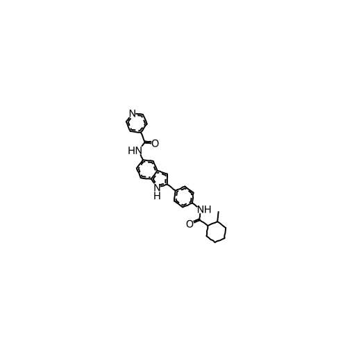 CC1CCCCC1C(=O)Nc1ccc(-c2cc3cc(NC(=O)c4ccncc4)ccc3[nH]2)cc1